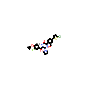 CN(C(=O)C1=NOCc2cc(-c3ccc(Cl)s3)ccc21)C(CN1CCCC1)C(O)c1ccc(OC2CC2)c(F)c1